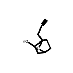 C#CCC12CCC(CC1O)N2